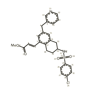 COC(=O)C=Cc1cc(Cc2cccnc2)cc2c1CCC(NS(=O)(=O)c1ccc(Cl)cc1)C2